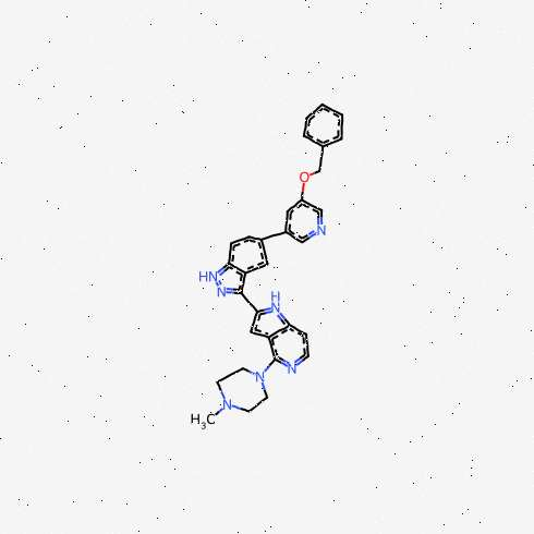 CN1CCN(c2nccc3[nH]c(-c4n[nH]c5ccc(-c6cncc(OCc7ccccc7)c6)cc45)cc23)CC1